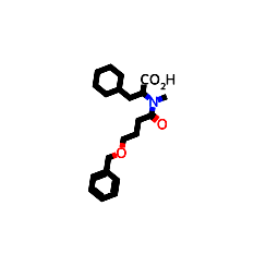 CN(C(=O)CCCOCc1ccccc1)C(CC1CCCCC1)C(=O)O